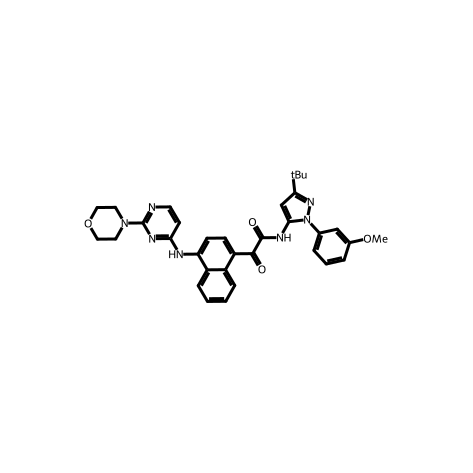 COc1cccc(-n2nc(C(C)(C)C)cc2NC(=O)C(=O)c2ccc(Nc3ccnc(N4CCOCC4)n3)c3ccccc23)c1